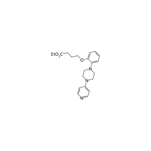 CCOC(=O)CCCOc1ccccc1N1CCN(c2ccncc2)CC1